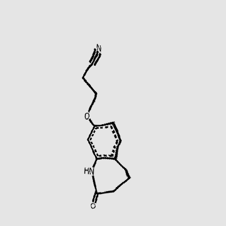 N#CCCOc1ccc2c(c1)NC(=O)CC2